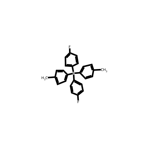 Cc1ccc([B-](c2ccc(C)cc2)(c2ccc(F)cc2)c2ccc(F)cc2)cc1